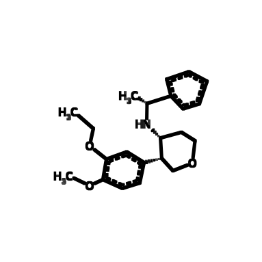 CCOc1cc([C@H]2COCC[C@H]2N[C@H](C)c2ccccc2)ccc1OC